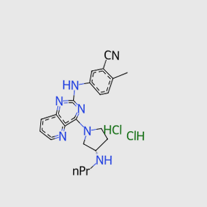 CCCN[C@H]1CCN(c2nc(Nc3ccc(C)c(C#N)c3)nc3cccnc23)C1.Cl.Cl